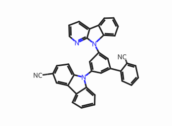 N#Cc1ccc2c(c1)c1ccccc1n2-c1cc(-c2ccccc2C#N)cc(-n2c3ccccc3c3cccnc32)c1